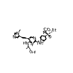 CCOC(=O)N=S(C)(=O)c1ccc(Nc2ncc(C#Cc3cncn3C)c(N[C@H](C)CO)n2)cc1